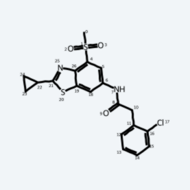 CS(=O)(=O)c1cc(NC(=O)Cc2ccccc2Cl)cc2sc(C3CC3)nc12